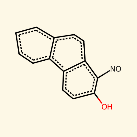 O=Nc1c(O)ccc2c1ccc1ccccc12